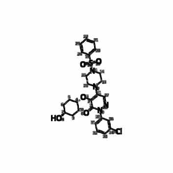 O=c1c(O[C@H]2CC[C@H](O)CC2)c(N2CCN(S(=O)(=O)c3ccccc3)CC2)cnn1-c1cccc(Cl)c1